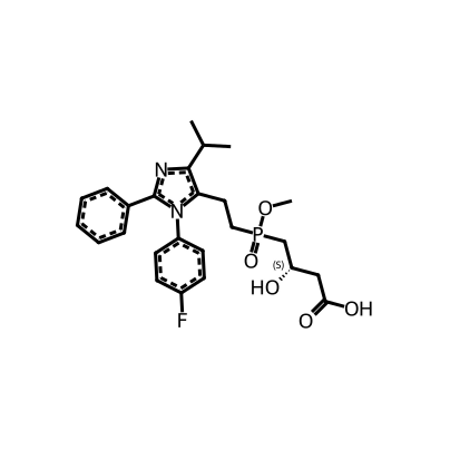 COP(=O)(CCc1c(C(C)C)nc(-c2ccccc2)n1-c1ccc(F)cc1)C[C@@H](O)CC(=O)O